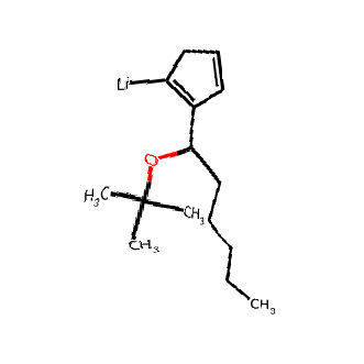 [Li][C]1=C(C(CCCCC)OC(C)(C)C)C=CC1